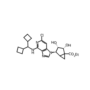 CCOC(=O)C12CC1[C@@H](n1cnc3c(NC(C4CCC4)C4CCC4)nc(Cl)cc31)[C@H](O)[C@@H]2O